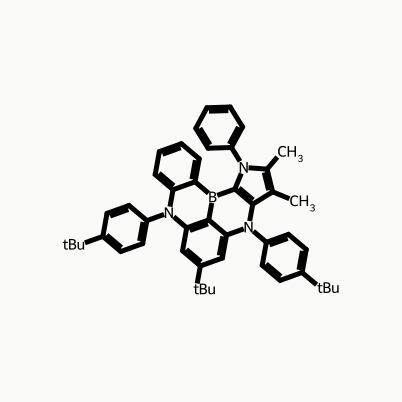 Cc1c2c(n(-c3ccccc3)c1C)B1c3ccccc3N(c3ccc(C(C)(C)C)cc3)c3cc(C(C)(C)C)cc(c31)N2c1ccc(C(C)(C)C)cc1